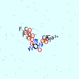 O=C1C=C(N2CC2)C(=O)C(N2CC2)=C1N1CC1.O=S(=O)([O-])C(F)(F)F.O=S(=O)([O-])C(F)(F)F.O=S(=O)([O-])C(F)(F)F.[Ga+3]